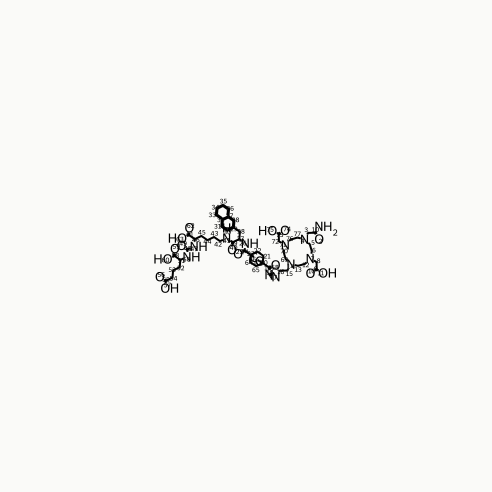 NC(=O)CN1CCN(CC(=O)O)CCN(Cc2nnc(C34CCC(C(=O)NC(Cc5ccc6ccccc6c5)C(=O)NCCCCC(NC(=O)NC(CCCC(=O)O)C(=O)O)C(=O)O)(CC3)CC4)o2)CCN(CC(=O)O)CC1